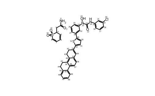 NC(=O)CC1C=CC=CS1(=O)=O.O=C(Nc1cccc(Cl)c1)N(O)c1cccc(-c2ccc(C3=Cc4ccc5c(c4CC3)CCc3ccccc3-5)s2)c1